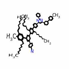 CCCCCCCCc1cc(-c2cc(-c3ccc(C#N)cc3)cc(-c3cc(CCCCCCCC)c(-c4ccc(-c5cc(-c6cccc(-c7ccc(C)cc7)c6)nc(-c6ccccc6)n5)cc4)cc3CCCCCCCC)c2)c(CCCCCCCC)cc1C